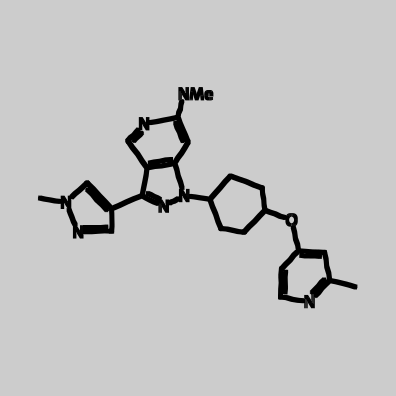 CNc1cc2c(cn1)c(-c1cnn(C)c1)nn2C1CCC(Oc2ccnc(C)c2)CC1